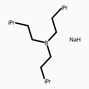 CC(C)CCB(CCC(C)C)CCC(C)C.[NaH]